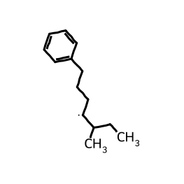 CCC(C)[CH]CCCc1ccccc1